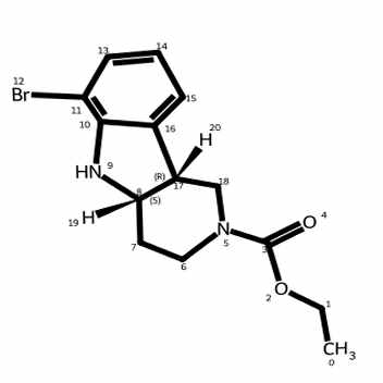 CCOC(=O)N1CC[C@@H]2Nc3c(Br)cccc3[C@@H]2C1